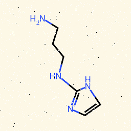 NCCCNc1ncc[nH]1